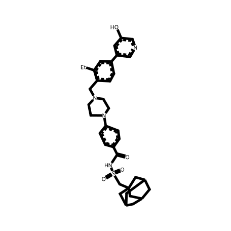 CCc1cc(-c2cncc(O)c2)ccc1CN1CCN(c2ccc(C(=O)NS(=O)(=O)CC34CC5CC(CC(C5)C3)C4)cc2)CC1